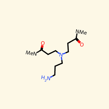 CNC(=O)CCN(CCCN)CCC(=O)NC